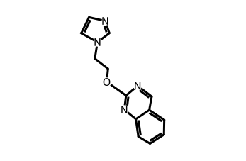 c1ccc2nc(OCCn3ccnc3)ncc2c1